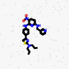 CCCN(CCC)c1nc(-c2ccc(Nc3nc(NCc4cccnc4)ccc3[N+](=O)[O-])cc2)cs1